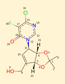 CC1(C)O[C@@H]2[C@H](O1)C(CO)=C[C@H]2n1cnc(Cl)c(F)c1=O